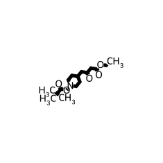 CCOC(=O)CC(=O)CC1CCN(OC(=O)C(C)(C)C)CC1